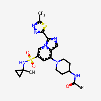 CC(C)C(=O)NC1CCN(c2cc(S(=O)(=O)NC3(C#N)CC3)cn3c(-c4nnc(C(F)(F)F)s4)ncc23)CC1